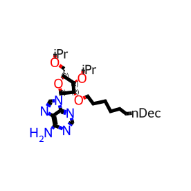 CCCCCCCCCCCCCCCCO[C@@H]1[C@H](OC(C)C)[C@@H](COC(C)C)O[C@H]1n1cnc2c(N)ncnc21